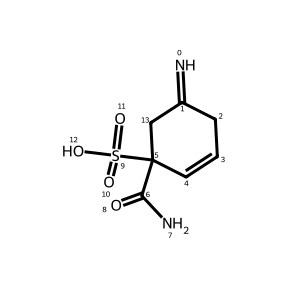 N=C1CC=CC(C(N)=O)(S(=O)(=O)O)C1